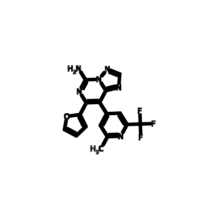 Cc1cc(-c2c(-c3ccco3)nc(N)n3ncnc23)cc(C(F)(F)F)n1